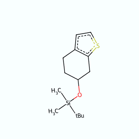 CC(C)(C)[Si](C)(C)OC1CCc2ccsc2C1